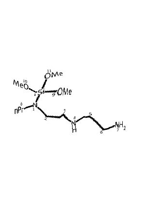 CCCN(CCNCCN)[Si](OC)(OC)OC